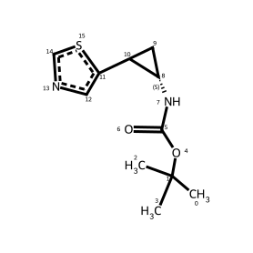 CC(C)(C)OC(=O)N[C@H]1CC1c1cncs1